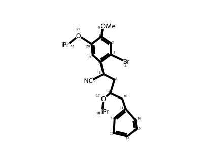 COc1cc(Br)c(C(C#N)CC(Cc2ccccc2)OC(C)C)cc1OC(C)C